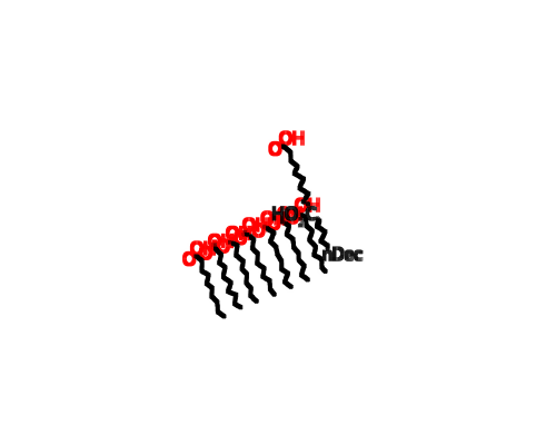 CCCCCCCCCC(=O)O.CCCCCCCCCC(=O)O.CCCCCCCCCC(=O)O.CCCCCCCCCC(=O)O.CCCCCCCCCC(=O)O.CCCCCCCCCC(=O)O.CCCCCCCCCC(=O)O.CCCCCCCCCC(=O)O.CCCCCCCCCCCCC/C=C/C(=O)O